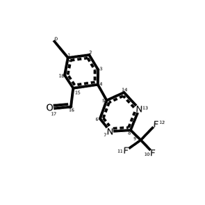 Cc1ccc(-c2cnc(C(F)(F)F)nc2)c(C=O)c1